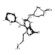 CCOCCn1nc(CC)c2nc(NC3CCN(CC)CC3)nc(Nc3ccccn3)c21